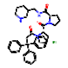 Cl.O=C(NCC1CCCNC1)[C@H]1CCCN1C(=O)[C@@H]1CCCN1C(=O)CC(c1ccccc1)(c1ccccc1)c1ccccc1